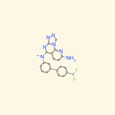 CN(c1cccc(-c2ccc(C(F)F)cc2)c1)c1nc2nncn2c2nc(N)ccc12